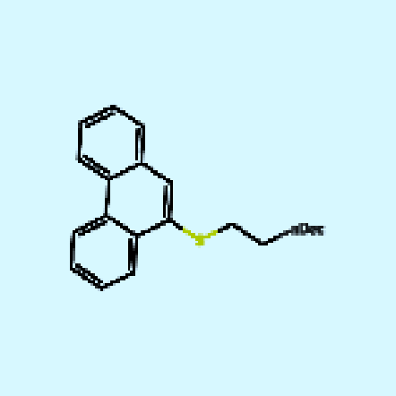 CCCCCCCCCCCCSc1cc2ccccc2c2ccccc12